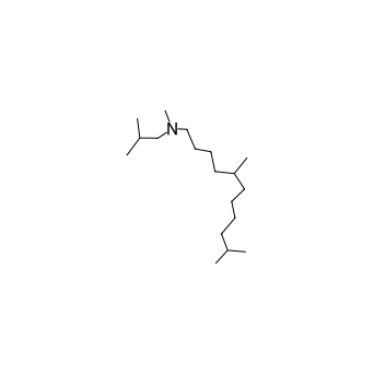 CC(C)CCCCC(C)CCCCN(C)CC(C)C